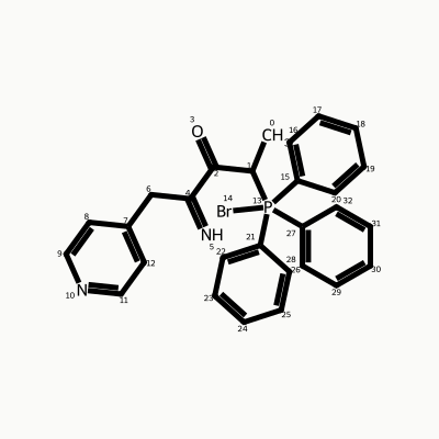 CC(C(=O)C(=N)Cc1ccncc1)P(Br)(c1ccccc1)(c1ccccc1)c1ccccc1